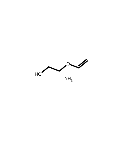 C=COCCO.N